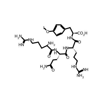 N=C(N)NCCC[C@H](NC(=O)[C@H](CCC(N)=O)NC(=O)[C@@H](N)CCCNC(=N)N)C(=O)N[C@@H](Cc1ccc(OI)cc1)C(=O)O